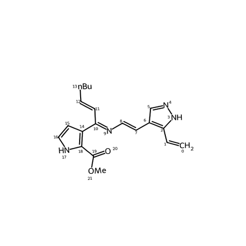 C=Cc1[nH]ncc1/C=C/N=C(\C=C\CCCC)c1cc[nH]c1C(=O)OC